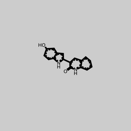 O=c1[nH]c2ccccc2cc1-c1cc2cc(O)ccc2[nH]1